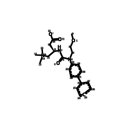 COCCN(C(=O)N[C@H](CC(=O)[O-])C[N+](C)(C)C)c1ccc(-c2ccccc2)cc1